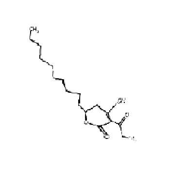 CCCCCCCCCCC1CC(O)=C(C(=O)CC)C(=O)O1